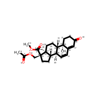 COC(=O)[C@@]1(COC(C)=O)CC[C@H]2[C@@H]3C=CC4=CC(=O)CC[C@]4(C)[C@H]3CC[C@@]21C